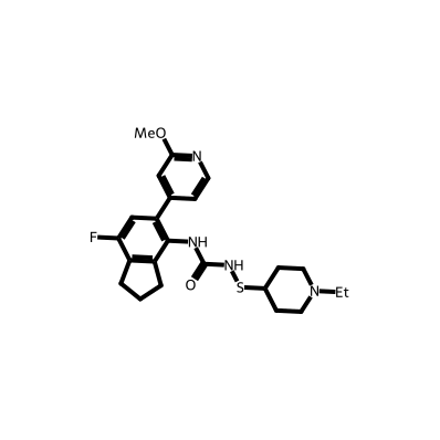 CCN1CCC(SNC(=O)Nc2c(-c3ccnc(OC)c3)cc(F)c3c2CCC3)CC1